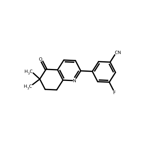 CC1(C)CCc2nc(-c3cc(F)cc(C#N)c3)ccc2C1=O